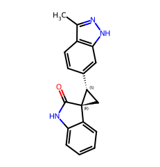 Cc1n[nH]c2cc([C@@H]3C[C@@]34C(=O)Nc3ccccc34)ccc12